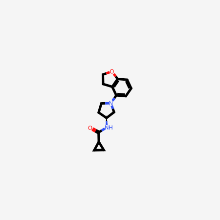 O=C(N[C@H]1CCN(c2cccc3c2CCO3)C1)C1CC1